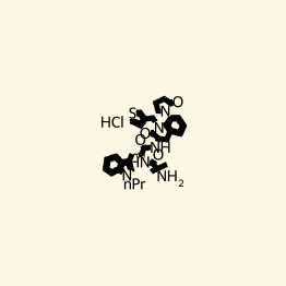 CCCn1cc(C[C@@H](NC(=O)C(C)(C)N)C(=O)NC2Cc3cccc(N4CCCC4=O)c3N(Cc3ccsc3)C2=O)c2ccccc21.Cl